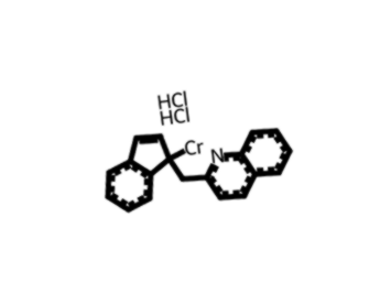 Cl.Cl.[Cr][C]1(Cc2ccc3ccccc3n2)C=Cc2ccccc21